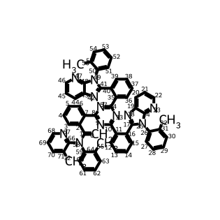 C=C(c1ccccc1-c1nc(-c2ccccc2-c2nc3cccnc3n2-c2ccccc2C)nc(-c2ccccc2-c2nc3cccnc3n2-c2ccccc2C)n1)N(c1ccccc1C)c1ncccc1C